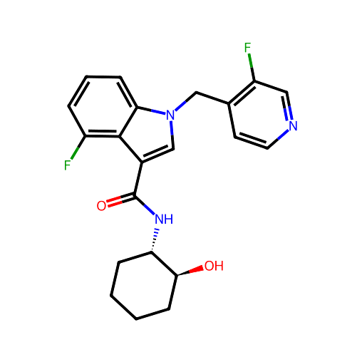 O=C(N[C@H]1CCCC[C@@H]1O)c1cn(Cc2ccncc2F)c2cccc(F)c12